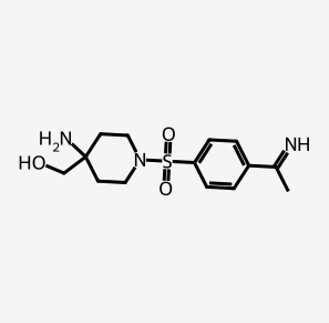 CC(=N)c1ccc(S(=O)(=O)N2CCC(N)(CO)CC2)cc1